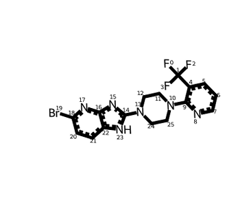 FC(F)(F)c1cccnc1N1CCN(c2nc3nc(Br)ccc3[nH]2)CC1